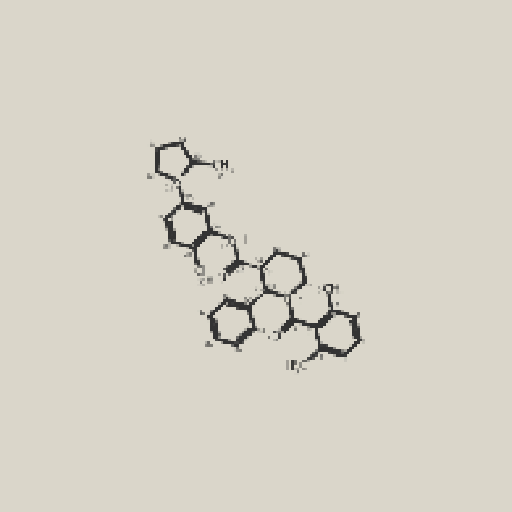 Cc1cccc(C)c1C(=O)N1CCC[C@H](C(=O)Nc2cc(N3CCCC3C)ccc2Cl)[C@@H]1c1ccccc1